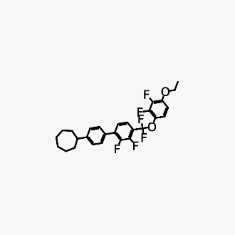 CCOc1ccc(OC(F)(F)c2ccc(-c3ccc(C4CCCCCC4)cc3)c(F)c2F)c(F)c1F